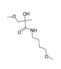 COCCCCNC(=O)C(C)(O)COC